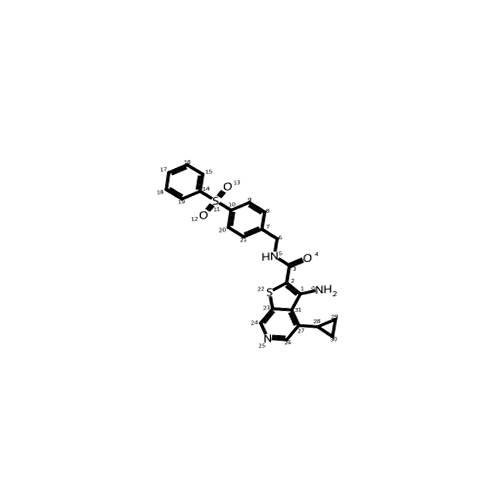 Nc1c(C(=O)NCc2ccc(S(=O)(=O)c3ccccc3)cc2)sc2cncc(C3CC3)c12